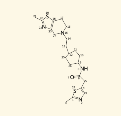 Cc1ncc(CC(=O)NC2CCC(CCN3CCc4sc(C)nc4C3)CC2)s1